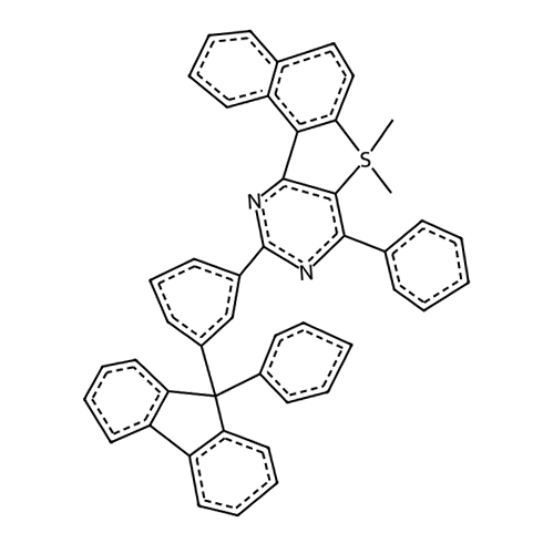 CS1(C)c2ccc3ccccc3c2-c2nc(-c3cccc(C4(c5ccccc5)c5ccccc5-c5ccccc54)c3)nc(-c3ccccc3)c21